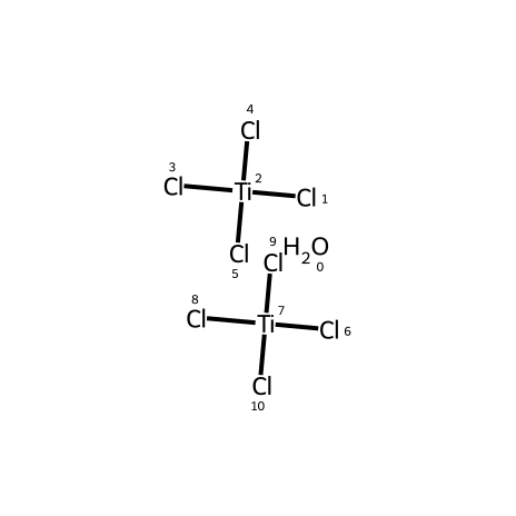 O.[Cl][Ti]([Cl])([Cl])[Cl].[Cl][Ti]([Cl])([Cl])[Cl]